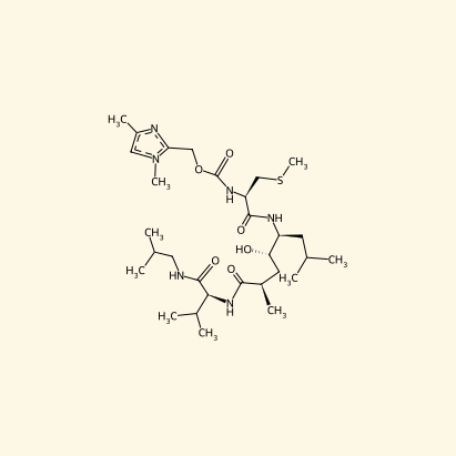 CSC[C@H](NC(=O)OCc1nc(C)cn1C)C(=O)N[C@@H](CC(C)C)[C@@H](O)C[C@@H](C)C(=O)N[C@H](C(=O)NCC(C)C)C(C)C